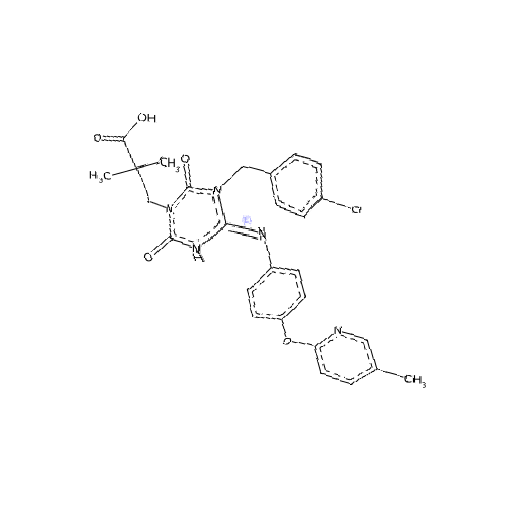 Cc1ccc(Oc2ccc(/N=c3\[nH]c(=O)n(CC(C)(C)C(=O)O)c(=O)n3Cc3ccc(Cl)cc3)cc2)nc1